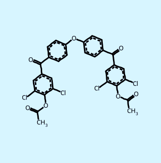 CC(=O)Oc1c(Cl)cc(C(=O)c2ccc(Oc3ccc(C(=O)c4cc(Cl)c(OC(C)=O)c(Cl)c4)cc3)cc2)cc1Cl